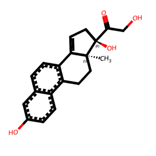 C[C@]12CCc3c(ccc4cc(O)ccc34)C1=CC[C@]2(O)C(=O)CO